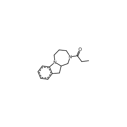 CCC(=O)N1CCCN2c3ccccc3CC2C1